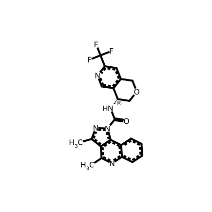 Cc1nc2ccccc2c2c1c(C)nn2C(=O)N[C@H]1COCc2cc(C(F)(F)F)ncc21